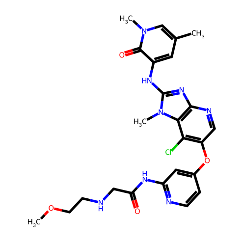 COCCNCC(=O)Nc1cc(Oc2cnc3nc(Nc4cc(C)cn(C)c4=O)n(C)c3c2Cl)ccn1